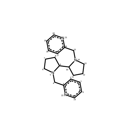 c1ccc(CN2CCCC2C2CCCN2Cc2ccccn2)nc1